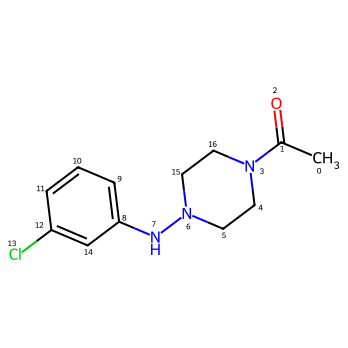 CC(=O)N1CCN(Nc2cccc(Cl)c2)CC1